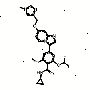 COc1cc(-c2cnc3cc(OCc4cn(C)cn4)ccn23)cc(OC(F)F)c1C(=O)NC1CC1